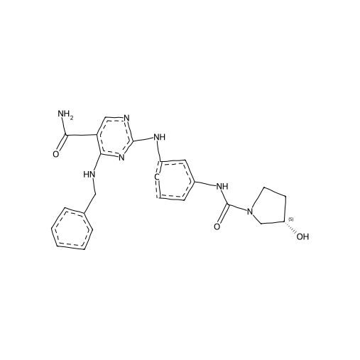 NC(=O)c1cnc(Nc2cccc(NC(=O)N3CC[C@H](O)C3)c2)nc1NCc1ccccc1